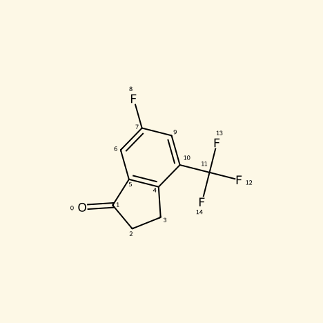 O=C1CCc2c1cc(F)cc2C(F)(F)F